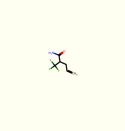 C=CCC(C(N)=O)C(F)(F)F